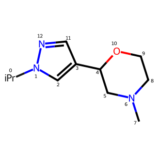 CC(C)n1cc(C2CN(C)CCO2)cn1